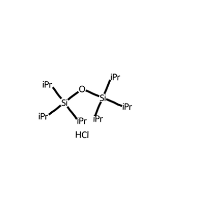 CC(C)[Si](O[Si](C(C)C)(C(C)C)C(C)C)(C(C)C)C(C)C.Cl